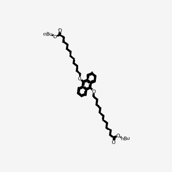 CCCCOC(=O)CCCCCCCCCCCOc1c2ccccc2c(OCCCCCCCCCCCC(=O)OCCCC)c2ccccc12